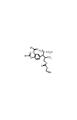 CCC(C)COC(=O)OCC(C)C(c1ccc(OC(=O)C(C)C)c(OC(=O)C(C)C)c1)[C@H](N)C(=O)O